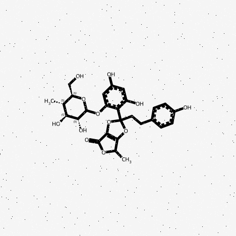 CC1OC(=O)C2=C1OC(CCc1ccc(O)cc1)(c1c(O)cc(O)cc1OC1O[C@H](CO)[C@@H](C)[C@H](O)[C@H]1O)O2